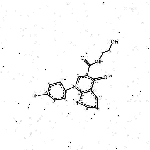 O=C(NCCO)c1cn(-c2ccc(F)cc2)c2ncccc2c1=O